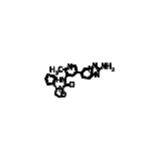 Cc1ncc(-c2ccc3nc(N)nn3c2)cc1NC(=O)N1OCC[C@H]1c1ccccc1